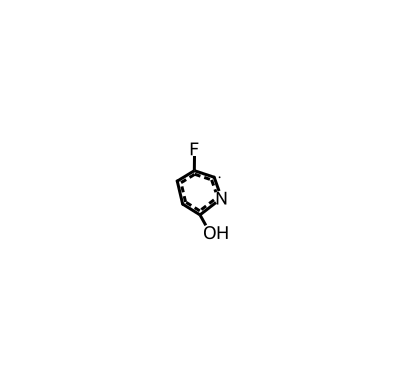 Oc1ccc(F)[c]n1